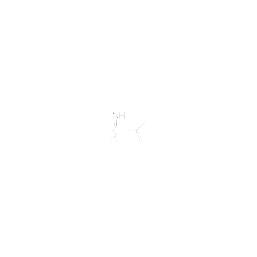 C=C(C)C.N=C=O